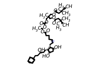 C#CC(C)(C)CC(=O)OCC(C)(COC(=O)CC(C)(C)C#C)COC(=O)OC(C)OC(=O)CCC/C=C\C[C@@H]1[C@@H](CC[C@@H](O)CCc2ccccc2)[C@H](O)C[C@@H]1O